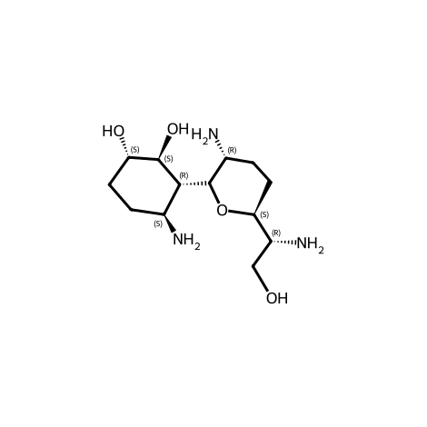 N[C@@H]1CC[C@@H]([C@H](N)CO)OC1[C@H]1[C@H](O)[C@@H](O)CC[C@@H]1N